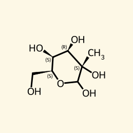 C[C@@]1(O)C(O)O[C@@H](CO)[C@@H](O)[C@H]1O